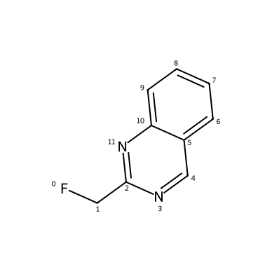 FCc1ncc2ccccc2n1